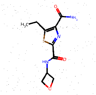 CCc1sc(C(=O)NC2COC2)nc1C(N)=O